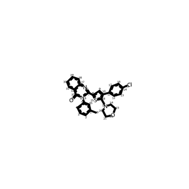 Cc1cccc(-n2c(-c3cc(-c4ccc(Cl)cc4)c(N4CCOCC4)s3)nc3ccccc3c2=O)c1